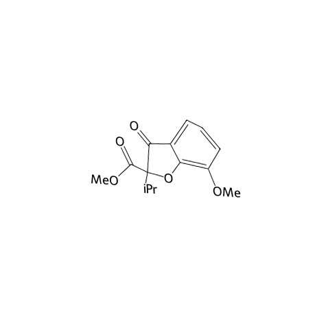 COC(=O)C1(C(C)C)Oc2c(OC)cccc2C1=O